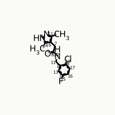 Cc1n[nH]c(C)c1CC(=O)NCc1cc(F)ccc1Cl